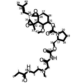 CCC(=O)NCCN(C)CC(=O)NC(=O)OC[C@@H]1CCCN1C(=O)OC1CC[C@]2(CO2)C(C2(C)O[C@@H]2CC=C(C)C)C1OC